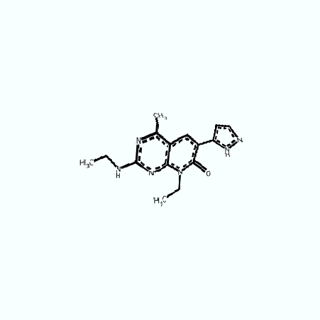 CCNc1nc(C)c2cc(-c3ccn[nH]3)c(=O)n(CC)c2n1